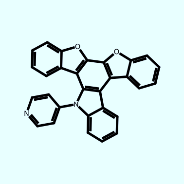 c1ccc2c(c1)oc1c3oc4ccccc4c3c3c(c4ccccc4n3-c3ccncc3)c21